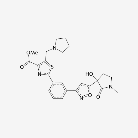 COC(=O)c1nc(-c2cccc(-c3cc(C4(O)CCN(C)C4=O)on3)c2)sc1CN1CCCC1